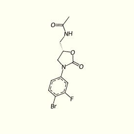 CC(=O)NC[C@H]1CN(c2ccc(Br)c(F)c2)C(=O)O1